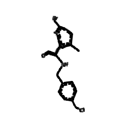 Cc1cc(Br)sc1C(=O)NCc1ccc(Cl)cc1